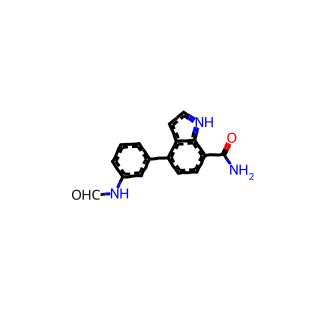 NC(=O)c1ccc(-c2cccc(NC=O)c2)c2cc[nH]c12